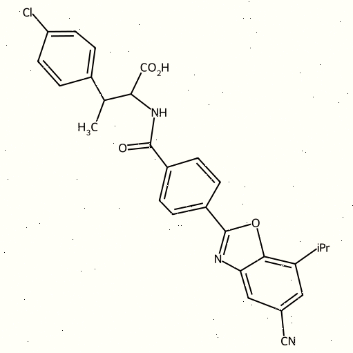 CC(C)c1cc(C#N)cc2nc(-c3ccc(C(=O)NC(C(=O)O)C(C)c4ccc(Cl)cc4)cc3)oc12